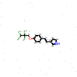 FC(F)C(F)(F)COc1ccc(/C=C/c2cc[nH]c2)cc1